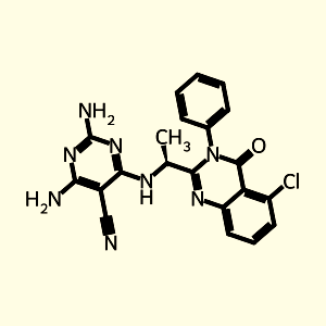 C[C@H](Nc1nc(N)nc(N)c1C#N)c1nc2cccc(Cl)c2c(=O)n1-c1ccccc1